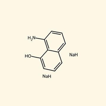 Nc1cccc2cccc(O)c12.[NaH].[NaH]